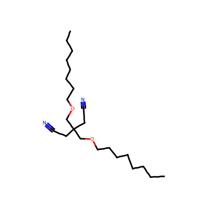 CCCCCCCCOCC(CC#N)(CC#N)COCCCCCCCC